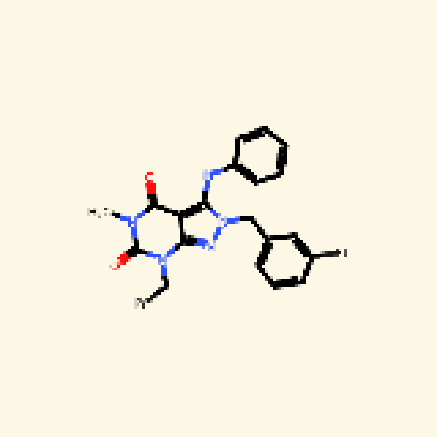 CCc1cccc(Cn2nc3c(c2Nc2ccccc2)c(=O)n(C)c(=O)n3CC(C)C)c1